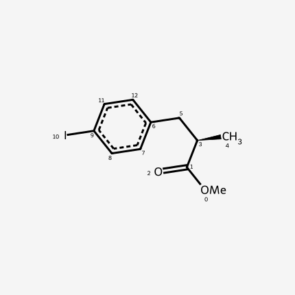 COC(=O)[C@H](C)Cc1ccc(I)cc1